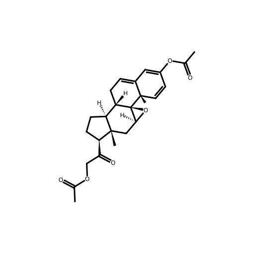 CC(=O)OCC(=O)[C@H]1CC[C@H]2[C@@H]3CC=C4C=C(OC(C)=O)C=C[C@]4(C)[C@@]34O[C@H]4C[C@]12C